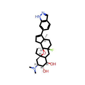 CN(C)[C@H]1C[C@@]23CC[C@]4(O2)C2CC=C(c5ccc6cn[nH]c6c5)[C@@]2(C)CCC4(F)CC3[C@@H](O)[C@@H]1O